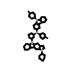 Cc1ccc(N(c2cccc(-n3c4ccccc4c4cc5c(ccn5-c5ccccc5)cc43)c2)c2ccc3c(c2)c2ccccc2n3-c2ccc(C)cc2)cc1